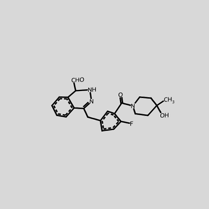 CC1(O)CCN(C(=O)c2cc(CC3=NNC(C=O)c4ccccc43)ccc2F)CC1